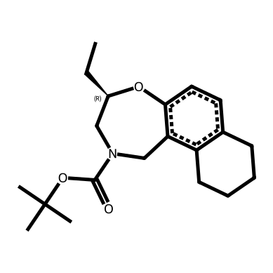 CC[C@@H]1CN(C(=O)OC(C)(C)C)Cc2c(ccc3c2CCCC3)O1